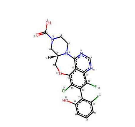 O=C(O)N1CCN2c3ncnc4c(F)c(-c5c(O)cccc5F)c(Cl)c(c34)OC[C@@H]2C1